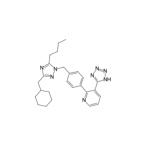 CCCCc1nc(CC2CCCCC2)nn1Cc1ccc(-c2ncccc2-c2nnn[nH]2)cc1